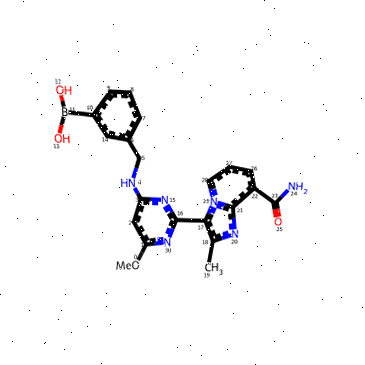 COc1cc(NCc2cccc(B(O)O)c2)nc(-c2c(C)nc3c(C(N)=O)cccn23)n1